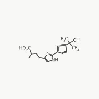 CC(CCc1c[nH]c(-c2ccc(C(O)(C(F)(F)F)C(F)(F)F)cc2)n1)C(=O)O